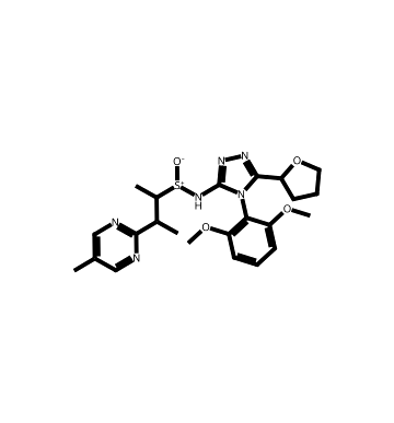 COc1cccc(OC)c1-n1c(N[S+]([O-])C(C)C(C)c2ncc(C)cn2)nnc1C1CCCO1